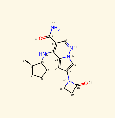 C[C@@H]1CCC[C@H]1Nc1c(C(N)=O)cnn2cc(N3CCC3=O)cc12